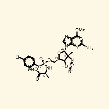 COC(=O)[C@H](C)NP(=O)(OC[C@H]1O[C@@H](n2cnc3c(OC)nc(N)nc32)[C@](C)(N=[N+]=[N-])C1O)Oc1ccc(Cl)cc1